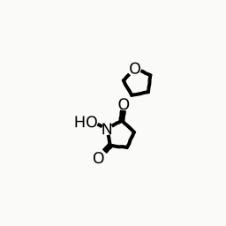 C1CCOC1.O=C1CCC(=O)N1O